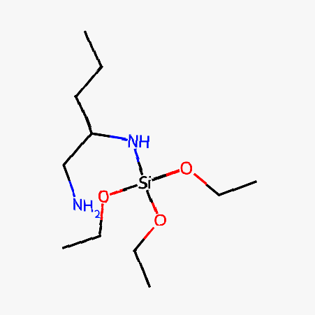 CCCC(CN)N[Si](OCC)(OCC)OCC